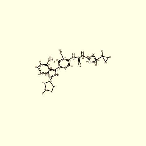 CN1CCC(n2nc(-c3ccc(NC(=O)Nc4cc(C5(C)CC5)no4)c(F)c3)c3c(N)ncnc32)C1